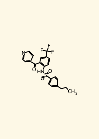 CCCc1ccc(S(=O)(=O)Nc2ccc(C(F)(F)F)cc2C(=O)c2ccncc2)cc1